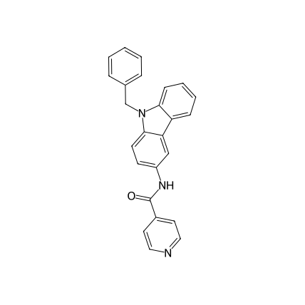 O=C(Nc1ccc2c(c1)c1ccccc1n2Cc1ccccc1)c1ccncc1